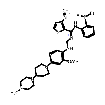 C=Nc1ccsc1/C(=N\CNc1ccc(N2CCC(N3CCN(C)CC3)CC2)cc1OC)Nc1ccccc1P(CC)CC